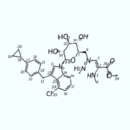 CN/C(=C\N(N)C[C@H]1O[C@@H](n2cc(Cc3ccc(C4CC4)cc3)c3c(Cl)cccc32)[C@H](O)[C@@H](O)[C@@H]1O)C(=O)OC